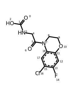 O=C(O)NCC(=O)N1CCOc2cc(F)c(Cl)cc21